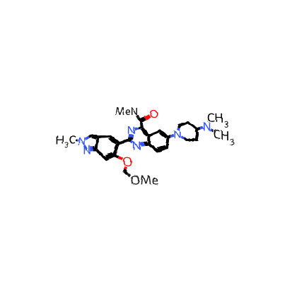 CNC(=O)c1nc(-c2cc3cn(C)nc3cc2OCOC)nc2ccc(N3CCC(N(C)C)CC3)cc12